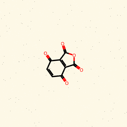 O=c1ccc(=O)c2c(=O)oc(=O)c1=2